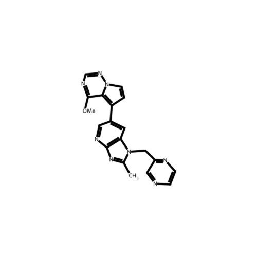 COc1ncnn2ccc(-c3cnc4nc(C)n(Cc5cnccn5)c4c3)c12